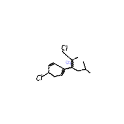 C/C(CCl)=C(\CC(C)C)C1=CCC(Cl)C=C1